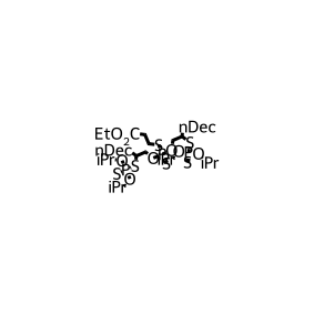 CCCCCCCCCCC(COP(=S)(OCC(CCCCCCCCCC)SP(=S)(OC(C)C)OC(C)C)SCCC(=O)OCC)SP(=S)(OC(C)C)OC(C)C